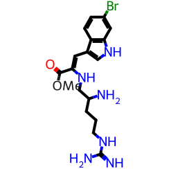 COC(=O)C(=Cc1c[nH]c2cc(Br)ccc12)NCC(N)CCCNC(=N)N